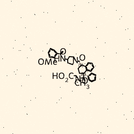 COc1ccccc1C(=O)NC1CCN(C(=O)[C@H]2CC[C@@](C(=O)N(C)CC(=O)O)(c3ccccc3)c3ccccc32)CC1